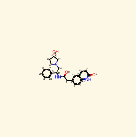 O=C(Cc1ccc2[nH]c(=O)ccc2c1)N[C@H](CN1CC[C@@H](O)C1)c1ccccc1